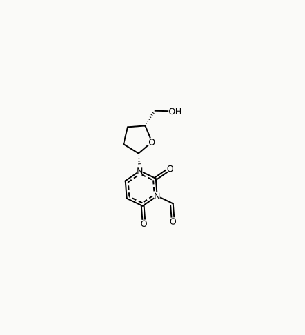 O=Cn1c(=O)ccn([C@@H]2CC[C@H](CO)O2)c1=O